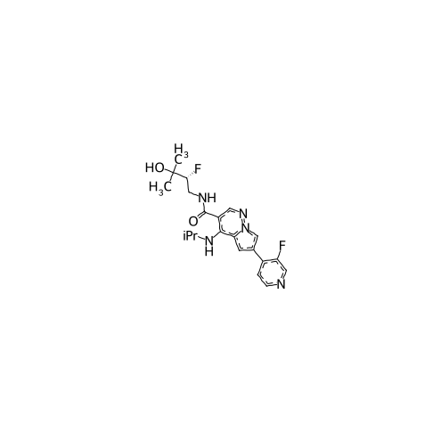 CC(C)Nc1c(C(=O)NC[C@@H](F)C(C)(C)O)cnn2cc(-c3ccncc3F)cc12